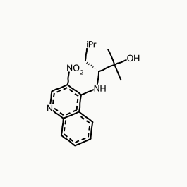 CC(C)C[C@@H](Nc1c([N+](=O)[O-])cnc2ccccc12)C(C)(C)O